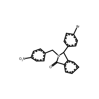 O=C1c2ccccc2C(c2ccc(Br)cc2)N1Cc1ccc([N+](=O)[O-])cc1